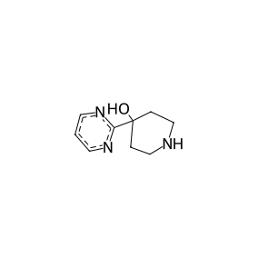 OC1(c2ncccn2)CCNCC1